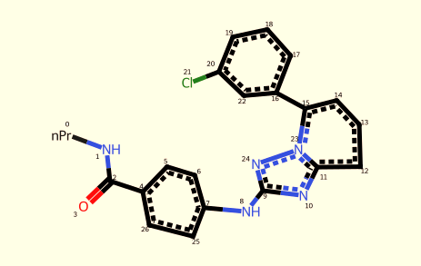 CCCNC(=O)c1ccc(Nc2nc3cccc(-c4cccc(Cl)c4)n3n2)cc1